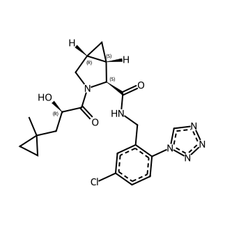 CC1(C[C@@H](O)C(=O)N2C[C@@H]3C[C@@H]3[C@H]2C(=O)NCc2cc(Cl)ccc2-n2cnnn2)CC1